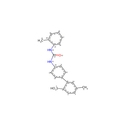 Cc1ccc(S(=O)(=O)O)c(-c2ccc(NC(=O)Nc3ccccc3C)cc2)c1